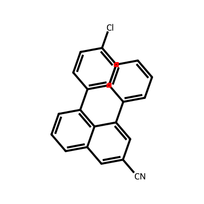 N#Cc1cc(-c2ccccc2)c2c(-c3ccc(Cl)cc3)cccc2c1